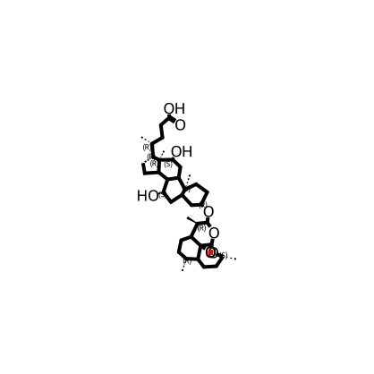 C[C@H]1C(O[C@@H]2CC[C@@]3(C)C(C2)C[C@H](O)C2C3C[C@H](O)[C@@]3(C)C2CC[C@@H]3[C@H](C)CCC(=O)O)OC2O[C@]3(C)CCC4[C@H](C)CCC1C24OO3